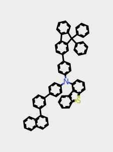 c1ccc(C2(c3ccccc3)c3ccccc3-c3ccc(-c4ccc(N(c5ccc(-c6cccc(-c7cccc8ccccc78)c6)cc5)c5cccc6sc7ccccc7c56)cc4)cc32)cc1